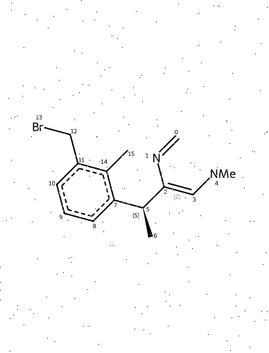 C=N/C(=C\NC)[C@@H](C)c1cccc(CBr)c1C